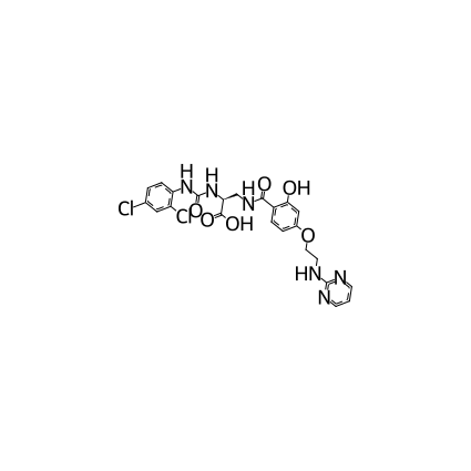 O=C(Nc1ccc(Cl)cc1Cl)N[C@@H](CNC(=O)c1ccc(OCCNc2ncccn2)cc1O)C(=O)O